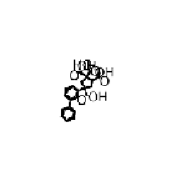 O=C(O)C1CC(C(=O)O)(c2cccc(-c3ccccc3)c2)CC1(C(=O)O)C(=O)O